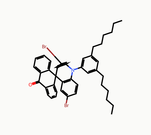 CCCCCCc1cc(CCCCCC)cc(N2c3ccc(Br)cc3C3(c4ccccc4C(=O)c4ccccc43)c3cc(Br)ccc32)c1